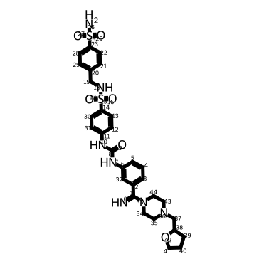 N=C(c1cccc(NC(=O)Nc2ccc(S(=O)(=O)NCc3ccc(S(N)(=O)=O)cc3)cc2)c1)N1CCN(CC2CCCO2)CC1